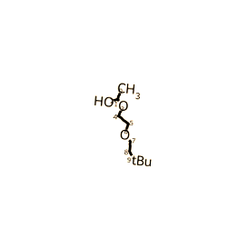 CC(O)OCCOCCC(C)(C)C